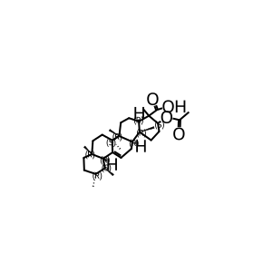 CC(=O)O[C@H]1CC[C@]2(C)[C@H]3CC=C4[C@@H]5[C@@H](C)[C@H](C)CC[C@]5(C)CC[C@@]4(C)[C@]3(C)CC[C@H]2C1(C)C(=O)O